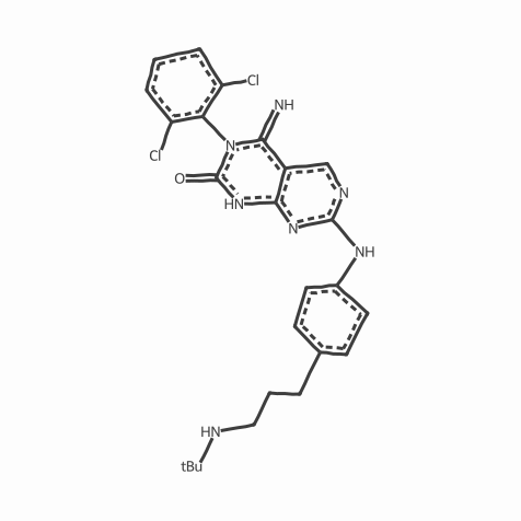 CC(C)(C)NCCCc1ccc(Nc2ncc3c(=N)n(-c4c(Cl)cccc4Cl)c(=O)[nH]c3n2)cc1